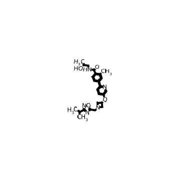 Cc1cc(-c2ccc(OC3CN(Cc4nc(C(C)C)no4)C3)cn2)ccc1C(=O)NCC(C)O